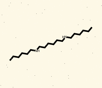 CCCCCCNCCCCCCNCCCCCC